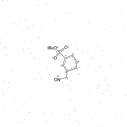 CC(C)COS(=O)(=O)c1cccc(CN=O)c1